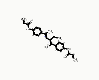 C=CC(=O)Oc1ccc(/C(C)=C/C(CC)=C(\C)c2ccc(OC(=O)C=C)cc2)cc1